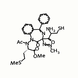 CN=NC1(C(=O)C(N)CS)N=C(c2ccccc2)c2ccccc2N(N(C(C)=O)[C@@H](CCSC)C(=O)OC)C1=O